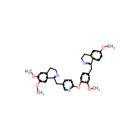 COc1ccc2c(c1)CCN=C2Cc1ccc(Oc2ccc(CC3=NCCc4cc(OC)c(OC)cc43)cn2)c(OC)c1